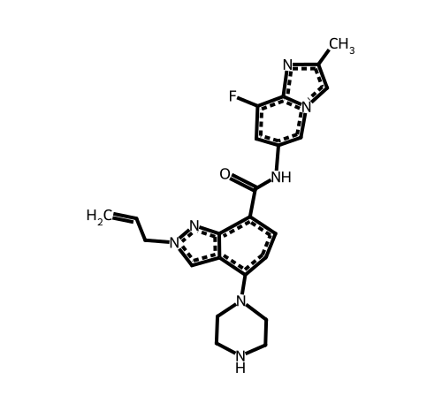 C=CCn1cc2c(N3CCNCC3)ccc(C(=O)Nc3cc(F)c4nc(C)cn4c3)c2n1